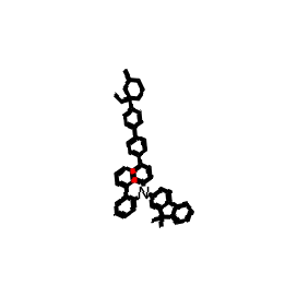 C=C1CCCC(CC)(c2ccc(-c3ccc(-c4ccc(N(c5ccc6c(c5)C(C)(C)c5ccccc5-6)c5ccccc5-c5ccccc5)cc4)cc3)cc2)C1